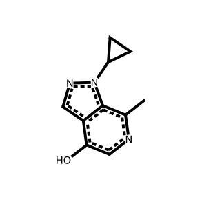 Cc1ncc(O)c2cnn(C3CC3)c12